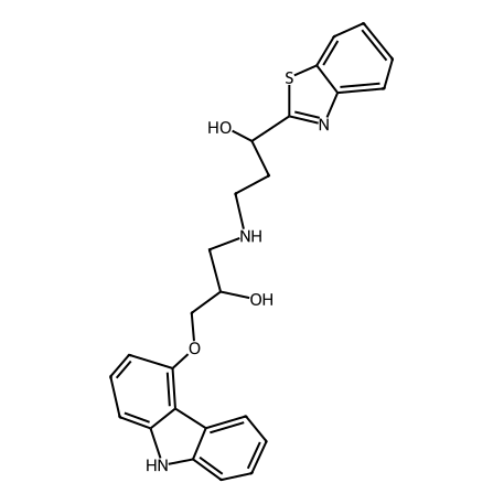 OC(CNCCC(O)c1nc2ccccc2s1)COc1cccc2[nH]c3ccccc3c12